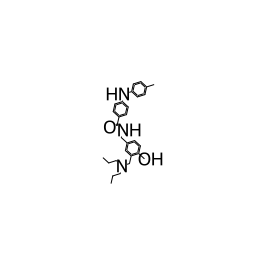 CCCN(CCC)Cc1cc(CNC(=O)c2ccc(Nc3ccc(C)cc3)cc2)ccc1O